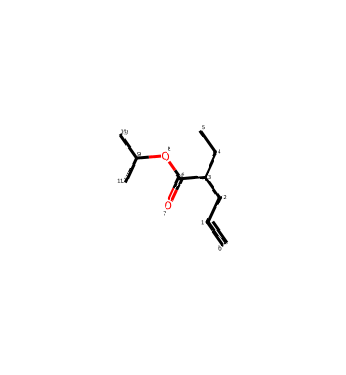 C=CCC(CC)C(=O)OC(C)C